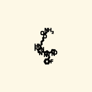 NCC(=O)OCCCCNc1nc(-c2cc(-c3ccon3)n(Cc3ccccc3F)n2)ncc1F